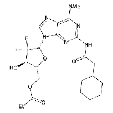 CCC(=O)OC[C@H]1O[C@@H](n2cnc3c(NC)nc(NC(=O)CC4CCCCC4)nc32)[C@](C)(F)[C@@H]1O